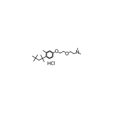 Cc1cc(OCCOCCN(C)C)ccc1C(C)(C)CC(C)(C)C.Cl